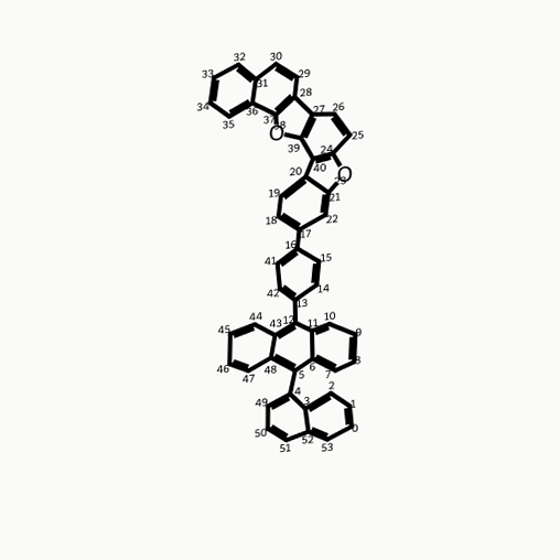 c1ccc2c(-c3c4ccccc4c(-c4ccc(-c5ccc6c(c5)oc5ccc7c8ccc9ccccc9c8oc7c56)cc4)c4ccccc34)cccc2c1